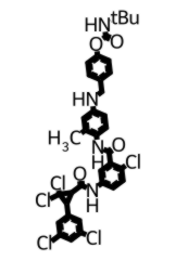 Cc1cc(NCc2ccc(OC(=O)NC(C)(C)C)cc2)ccc1NC(=O)c1cc(NC(=O)C2C(c3cc(Cl)cc(Cl)c3)C2(Cl)Cl)ccc1Cl